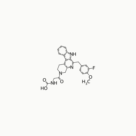 COc1ccc(Cc2nc3c(c4c2[nH]c2ccccc24)CCN(C(=O)CNC(=O)O)C3)cc1F